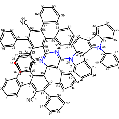 N#Cc1c(-c2ccccc2)c(-c2ccccc2)c(-c2cc(-n3c4ccccc4c4c3ccc3c5ccccc5n(-c5ccccc5)c34)nc(-c3c(-c4ccccc4)c(-c4ccccc4)c(C#N)c(-c4ccccc4)c3-c3ccccc3)n2)c(-c2ccccc2)c1-c1ccccc1